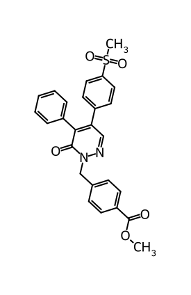 COC(=O)c1ccc(Cn2ncc(-c3ccc(S(C)(=O)=O)cc3)c(-c3ccccc3)c2=O)cc1